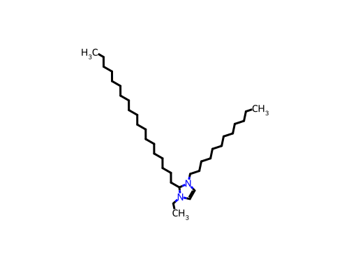 CCCCCCCCCCCCCCCCCCCC1N(CC)C=CN1CCCCCCCCCCCC